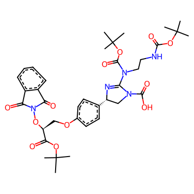 CC(C)(C)OC(=O)NCCN(C(=O)OC(C)(C)C)C1=N[C@@H](c2ccc(OC[C@H](ON3C(=O)c4ccccc4C3=O)C(=O)OC(C)(C)C)cc2)CN1C(=O)O